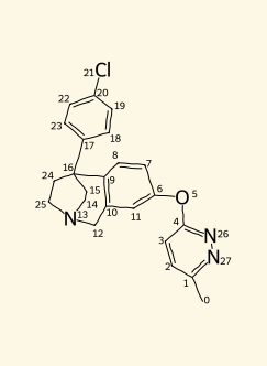 Cc1ccc(Oc2ccc3c(c2)CN2CCC3(c3ccc(Cl)cc3)CC2)nn1